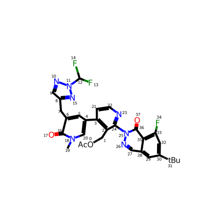 CC(=O)OCc1c(-c2cc(Cc3cnn(C(F)F)n3)c(=O)n(C)c2)ccnc1-n1ncc2cc(C(C)(C)C)cc(F)c2c1=O